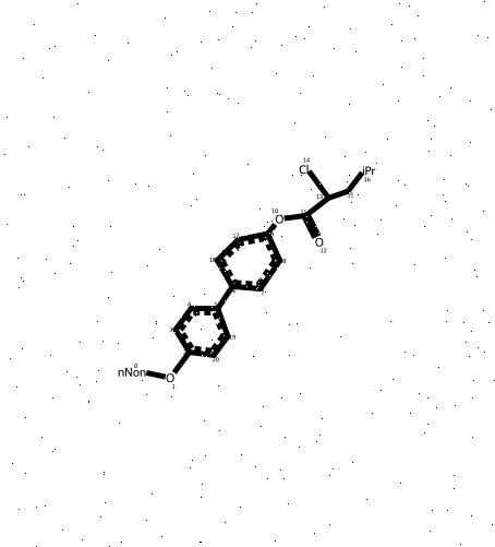 CCCCCCCCCOc1ccc(-c2ccc(OC(=O)C(Cl)CC(C)C)cc2)cc1